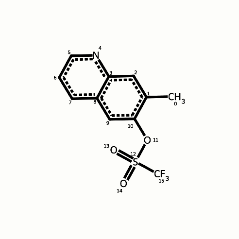 Cc1cc2ncccc2cc1OS(=O)(=O)C(F)(F)F